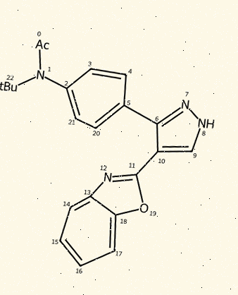 CC(=O)N(c1ccc(-c2n[nH]cc2-c2nc3ccccc3o2)cc1)C(C)(C)C